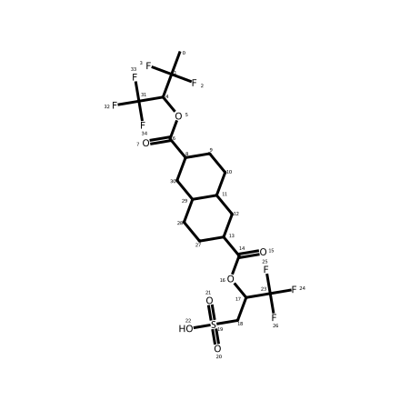 CC(F)(F)C(OC(=O)C1CCC2CC(C(=O)OC(CS(=O)(=O)O)C(F)(F)F)CCC2C1)C(F)(F)F